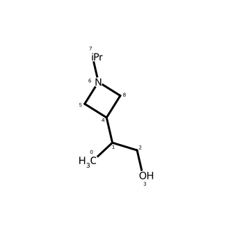 CC(CO)C1CN(C(C)C)C1